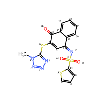 Cn1nnnc1SC1=C/C(=N\S(=O)(=O)c2cccs2)c2ccccc2C1=O